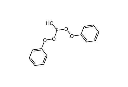 OP(OOc1ccccc1)OOc1ccccc1